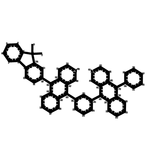 CC1(C)c2ccccc2-c2ccc(-c3c4ccccc4c(-c4cccc(-c5c6ccccc6c(-c6ccccc6)c6ccncc56)c4)c4cnccc34)cc21